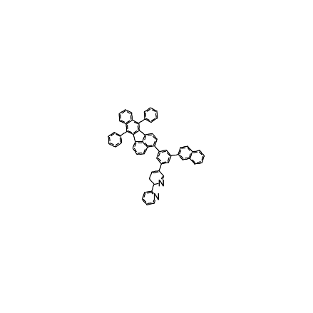 C1=NC(c2ccccn2)CC=C1c1cc(-c2ccc3ccccc3c2)cc(-c2ccc3c4c(cccc24)-c2c-3c(-c3ccccc3)c3ccccc3c2-c2ccccc2)c1